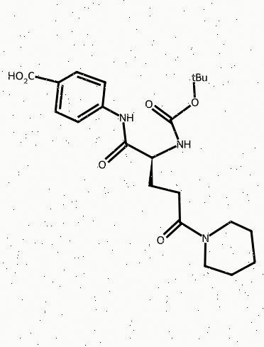 CC(C)(C)OC(=O)N[C@@H](CCC(=O)N1CCCCC1)C(=O)Nc1ccc(C(=O)O)cc1